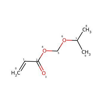 C=CC(=O)OCOC(C)C